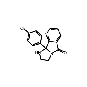 O=C1c2cccnc2C2(c3ccc(Cl)cc3)NCCN12